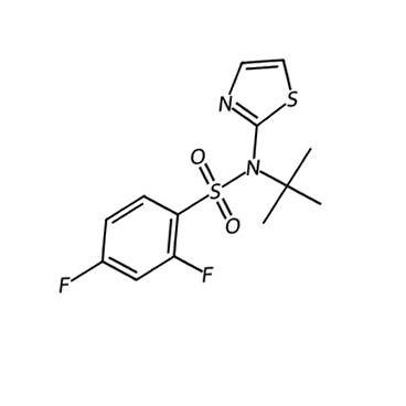 CC(C)(C)N(c1nccs1)S(=O)(=O)c1ccc(F)cc1F